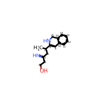 CC(CC(=N)CCO)C1=Cc2ccccc2CN1